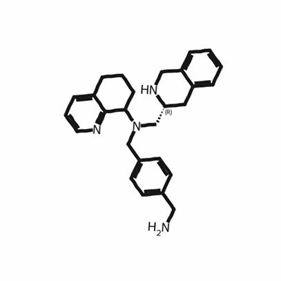 NCc1ccc(CN(C[C@H]2Cc3ccccc3CN2)C2CCCc3cccnc32)cc1